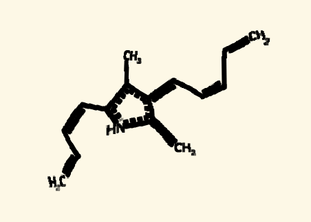 C=C/C=C\C=c1\c(C)c(/C=C\C=C)[nH]c1=C